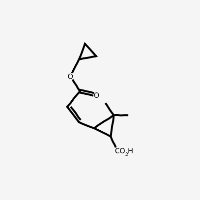 CC1(C)C(/C=C\C(=O)OC2CC2)C1C(=O)O